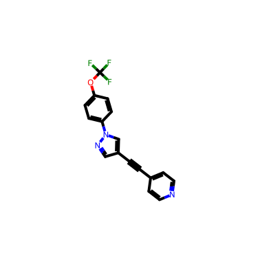 FC(F)(F)Oc1ccc(-n2cc(C#Cc3ccncc3)cn2)cc1